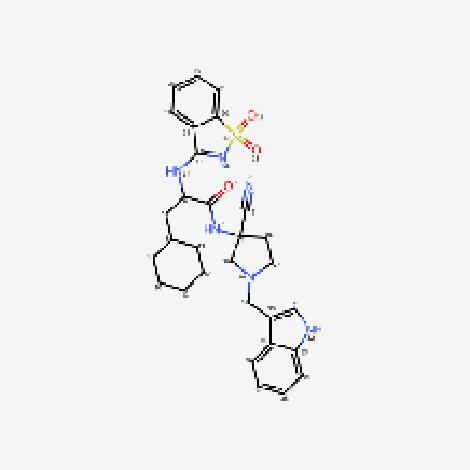 N#CC1(NC(=O)C(CC2CCCCC2)NC2=NS(=O)(=O)c3ccccc32)CCN(Cc2c[nH]c3ccccc23)C1